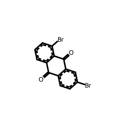 O=C1c2ccc(Br)cc2C(=O)c2c(Br)cccc21